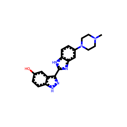 CN1CCN(c2ccc3[nH]c(-c4n[nH]c5ccc(O)cc45)nc3c2)CC1